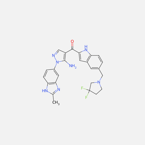 Cc1nc2cc(-n3ncc(C(=O)c4cc5cc(CN6CCC(F)(F)C6)ccc5[nH]4)c3N)ccc2[nH]1